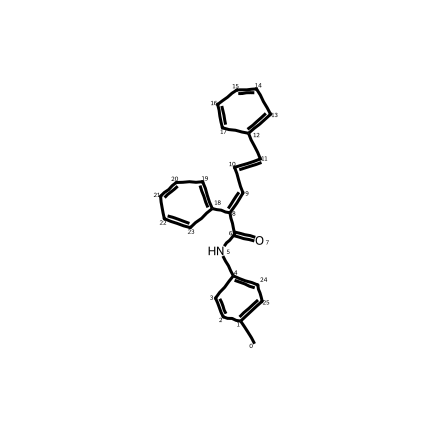 Cc1ccc(NC(=O)C(=CC=Cc2ccccc2)c2ccccc2)cc1